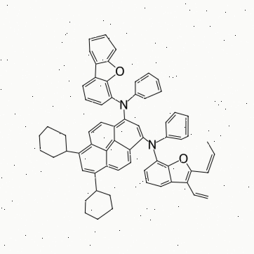 C=Cc1c(/C=C\C)oc2c(N(c3ccccc3)c3cc(N(c4ccccc4)c4cccc5c4oc4ccccc45)c4ccc5c(C6CCCCC6)cc(C6CCCCC6)c6ccc3c4c65)cccc12